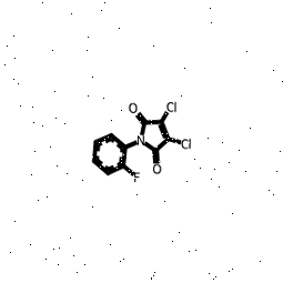 O=C1C(Cl)=C(Cl)C(=O)N1c1ccccc1F